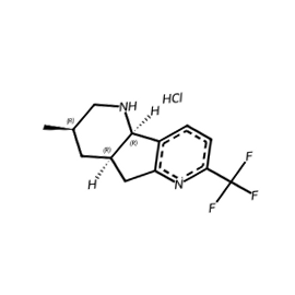 C[C@H]1CN[C@H]2c3ccc(C(F)(F)F)nc3C[C@H]2C1.Cl